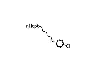 CCCCCCCCCCCCNc1ccc(Cl)cc1